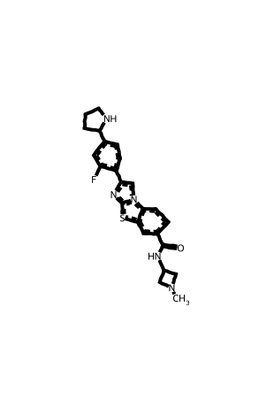 CN1CC(NC(=O)c2ccc3c(c2)sc2nc(-c4ccc(C5CCCN5)cc4F)cn23)C1